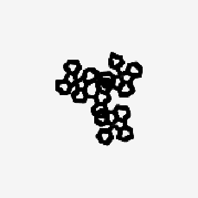 c1ccc([Si]2(c3ccccc3)c3ccccc3-c3cccc(-c4cccc5c(-c6cccc7c6-c6ccccc6C76c7ccccc7-c7ccccc76)c6cccc(-c7cccc8c7[Si](c7ccccc7)(c7ccccc7)c7ccccc7-8)c6cc45)c32)cc1